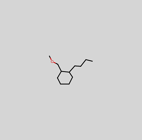 CCCCC1CCCCC1COC